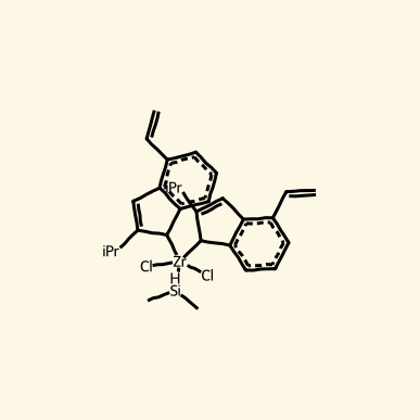 C=Cc1cccc2c1C=C(C(C)C)[CH]2[Zr]([Cl])([Cl])([CH]1C(C(C)C)=Cc2c(C=C)cccc21)[SiH](C)C